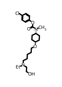 CCN(CCO)CCCCCO[C@H]1CC[C@H](N(C)C(=O)Oc2ccc(Cl)cc2)CC1